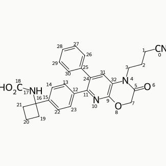 N#CCCCN1C(=O)COc2nc(-c3ccc(C4(NC(=O)O)CCC4)cc3)c(-c3ccccc3)cc21